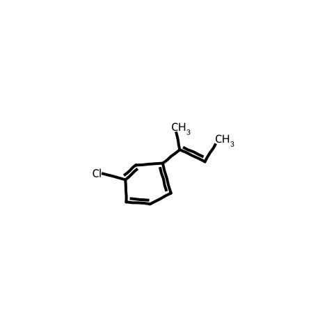 C/C=C(\C)c1cccc(Cl)c1